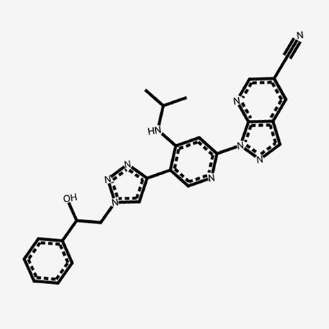 CC(C)Nc1cc(-n2ncc3cc(C#N)cnc32)ncc1-c1cn(CC(O)c2ccccc2)nn1